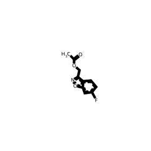 CC(=O)OCc1noc2cc(F)ccc12